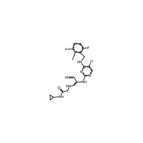 N=C/C(=C\NCC(=O)NC1CC1)Nc1ncc(Cl)c(NCc2c(F)ccc(F)c2F)n1